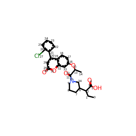 CCC(C(=O)O)C1CCCN(C(=O)C(C)Oc2ccc3c(-c4ccccc4Cl)cc(=O)oc3c2)C1